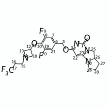 O=c1nc(OCc2cc(F)c(OC3CN(CCC(F)(F)F)C3)c(F)c2)cc2n1CC1CCCN21